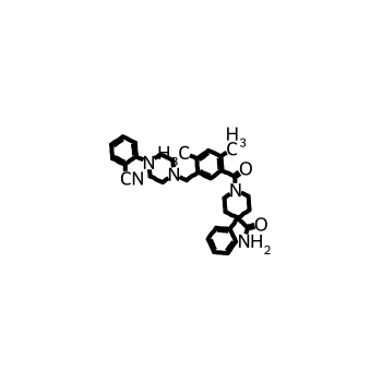 Cc1cc(C)c(C(=O)N2CCC(C(N)=O)(c3ccccc3)CC2)cc1CN1CCN(c2ccccc2C#N)CC1